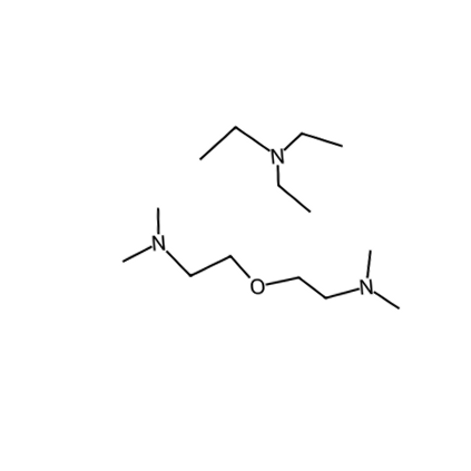 CCN(CC)CC.CN(C)CCOCCN(C)C